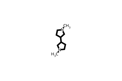 CN1CCC(C2CCN(C)C2)C1